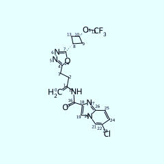 C=C(CCc1nnc([C@H]2C[C@@H](OC(F)(F)F)C2)o1)NC(=O)c1cn2cc(Cl)ccc2n1